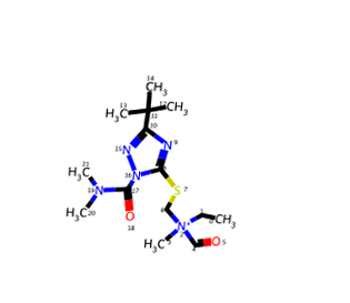 CC[N+](C)(C=O)CSc1nc(C(C)(C)C)nn1C(=O)N(C)C